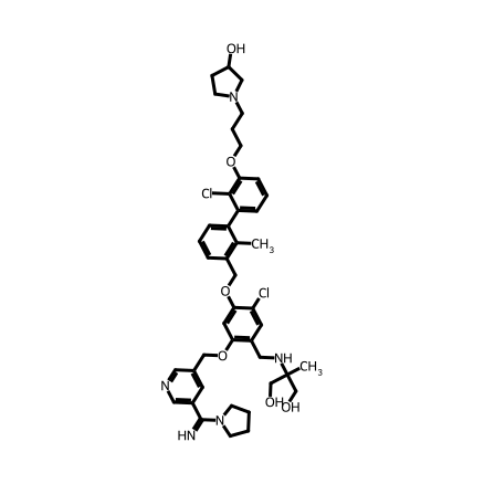 Cc1c(COc2cc(OCc3cncc(C(=N)N4CCCC4)c3)c(CNC(C)(CO)CO)cc2Cl)cccc1-c1cccc(OCCCN2CCC(O)C2)c1Cl